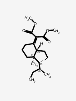 CC[C@H](C)[C@H]1CC[C@H]2C(=C(C(=O)OC)C(=O)OC)CCC[C@]12C